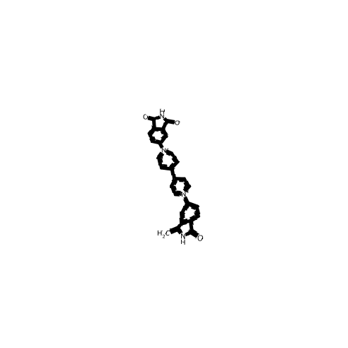 C=C1NC(=O)c2ccc(-[n+]3ccc(-c4cc[n+](-c5ccc6c(c5)C(=O)NC6=O)cc4)cc3)cc21